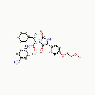 COCCOc1ccc([C@H]2NC(=O)N([C@H](C(=O)Nc3ccc(N)cc3F)[C@@H](C)C3CCCCC3)C2=O)cc1